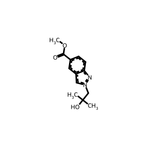 COC(=O)c1ccc2nn(CC(C)(C)O)cc2c1